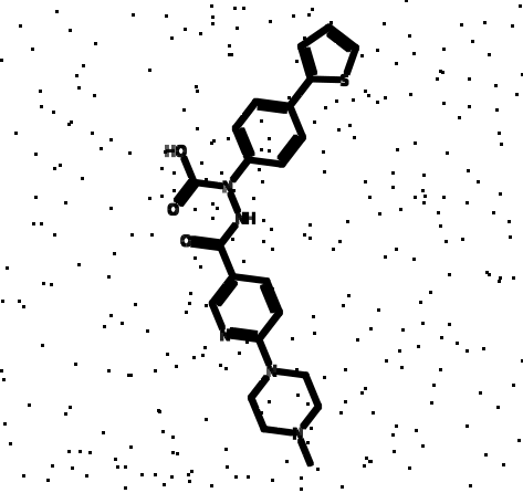 CN1CCN(c2ccc(C(=O)NN(C(=O)O)c3ccc(-c4cccs4)cc3)cn2)CC1